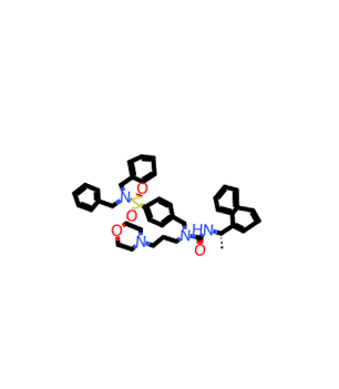 C[C@H](NC(=O)N(CCCN1CCOCC1)Cc1ccc(S(=O)(=O)N(Cc2ccccc2)Cc2ccccc2)cc1)c1cccc2ccccc12